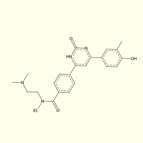 CCN(CCN(C)C)C(=O)c1ccc(-c2cc(-c3ccc(O)c(C)c3)nc(=O)[nH]2)cc1